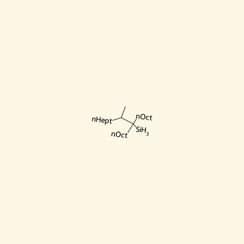 CCCCCCCCC([SiH3])(CCCCCCCC)C(C)CCCCCCC